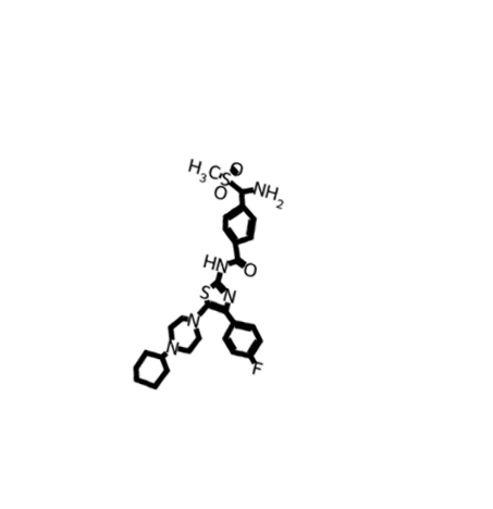 CS(=O)(=O)C(N)c1ccc(C(=O)Nc2nc(-c3ccc(F)cc3)c(N3CCN(C4CCCCC4)CC3)s2)cc1